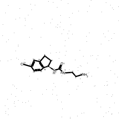 NCCNC(=O)N[C@@H]1CCc2cc(Cl)ccc21